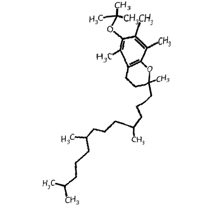 Cc1c(C)c2c(c(C)c1OC(C)(C)C)CCC(C)(CCCC(C)CCCC(C)CCCC(C)C)O2